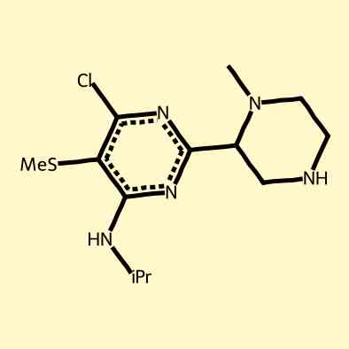 CSc1c(Cl)nc(C2CNCCN2C)nc1NC(C)C